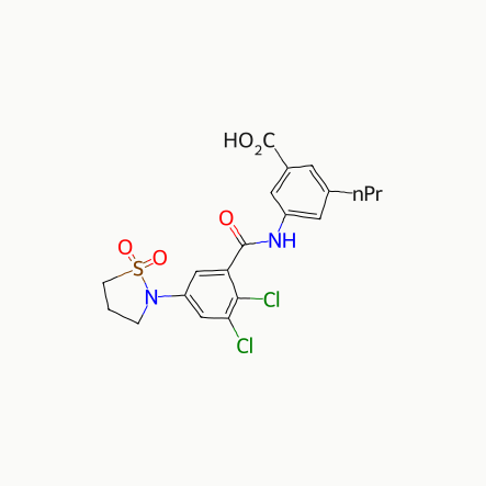 CCCc1cc(NC(=O)c2cc(N3CCCS3(=O)=O)cc(Cl)c2Cl)cc(C(=O)O)c1